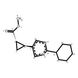 COC(=O)[C@H]1C[C@@H]1c1cnc(C2CCCCC2)nc1